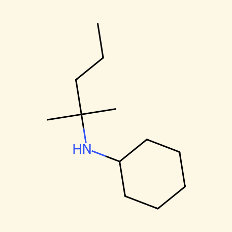 CCCC(C)(C)NC1CCCCC1